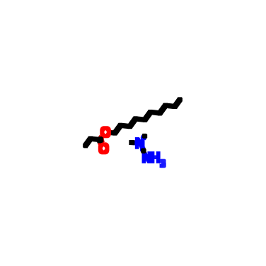 CCCCCCCCCCOC(=O)CC.CN(C)C.N